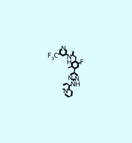 C=C/C(Nc1ncc(-c2cc(F)c(CC(=C)Nc3cncc(C(F)(F)F)c3)cc2C)cn1)=C1/C=CC=CN1C